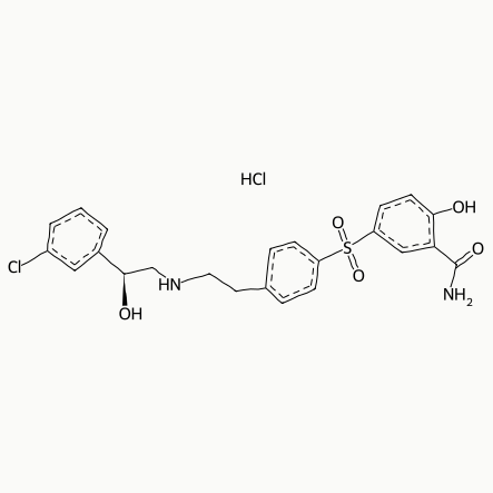 Cl.NC(=O)c1cc(S(=O)(=O)c2ccc(CCNC[C@@H](O)c3cccc(Cl)c3)cc2)ccc1O